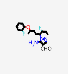 C\C=C(F)/C(=C\C=C(/C)Oc1ccccc1F)n1ncc(C=O)c1N